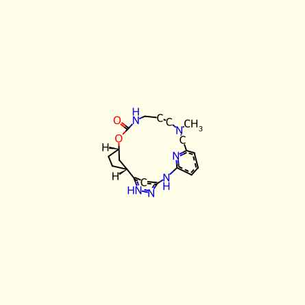 CN1CCCNC(=O)O[C@H]2CC[C@H](C2)c2cc(n[nH]2)Nc2cccc(n2)C1